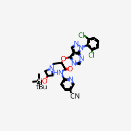 CC(C)(C)[Si](C)(C)OC1CN(CC(Oc2ncnc3c2cnn3-c2c(Cl)cccc2Cl)C(=O)Nc2ccc(C#N)cn2)C1